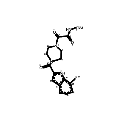 CCCCNC(=O)C(=O)N1CCN(C(=O)c2cc3cccc(F)c3[nH]2)CC1